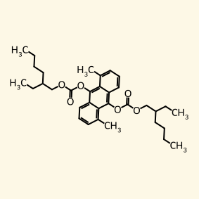 CCCCC(CC)COC(=O)Oc1c2cccc(C)c2c(OC(=O)OCC(CC)CCCC)c2cccc(C)c12